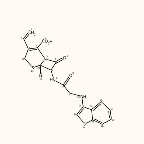 C=CC1=C(C(=O)O)N2C(=O)C(NC(=O)CNc3csc4ccccc34)[C@@H]2SC1